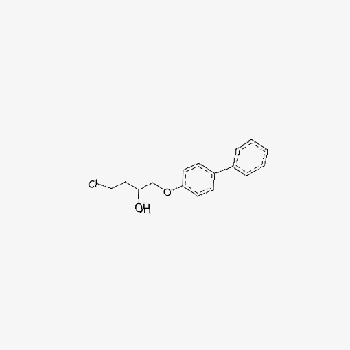 OC(CCCl)COc1ccc(-c2ccccc2)cc1